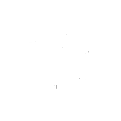 N=C1C(C(=O)O)=C(C(=O)O)C(=N)C(C(=O)O)=C1C(=O)O